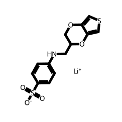 O=S(=O)([O-])c1ccc(NCC2COc3cscc3O2)cc1.[Li+]